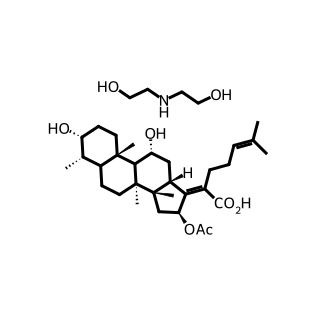 CC(=O)O[C@H]1C[C@@]2(C)[C@H](C[C@@H](O)C3[C@@]4(C)CC[C@@H](O)[C@@H](C)C4CC[C@@]32C)C1=C(CCC=C(C)C)C(=O)O.OCCNCCO